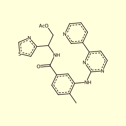 CC(=O)OCC(NC(=O)c1ccc(C)c(Nc2nccc(-c3cccnc3)n2)c1)c1cscn1